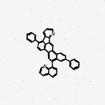 c1ccc(-c2ccc3c(c2)c(-c2cccc4cccnc24)cc2c4ccc(-c5ccccc5)c5c4c(cc32)-c2ncccc2-5)cc1